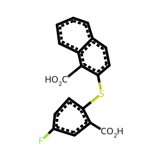 O=C(O)c1cc(F)ccc1Sc1ccc2ccccc2c1C(=O)O